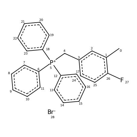 Cc1cc(C[P+](c2ccccc2)(c2ccccc2)c2ccccc2)ccc1F.[Br-]